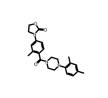 Cc1ccc(N2CCN(C(=O)c3ccc(N4CCOC4=O)cc3C)CC2)c(C)c1